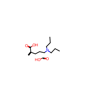 C=C(CCCN(CCC)CCC)C(=O)O.O=CO